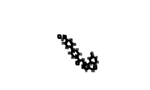 Cc1ccc2c(c1)-c1c(cnn1CC(=O)N1CCN(c3ccc([N+](=O)[O-])cc3)CC1)CO2